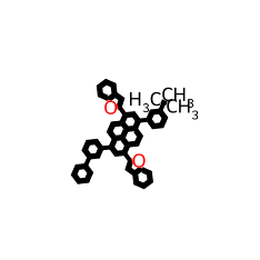 CC(C)(C)c1cccc(-c2cc(-c3cc4ccccc4o3)c3ccc4c(-c5cccc(-c6ccccc6)c5)cc(-c5cc6ccccc6o5)c5ccc2c3c45)c1